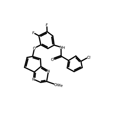 COc1cnc2ccc(Oc3cc(NC(=O)c4cccc(Cl)c4)cc(F)c3F)cc2n1